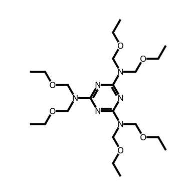 CCOCN(COCC)c1nc(N(COCC)COCC)nc(N(COCC)COCC)n1